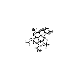 CC(C)OC(=O)c1nc(Br)c(Cc2ccc(F)cc2)c(Br)c1N(CCCO)C(=O)OC(C)(C)C